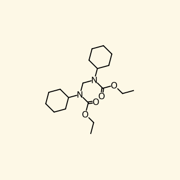 CCOC(=O)N(CN(C(=O)OCC)C1CCCCC1)C1CCCCC1